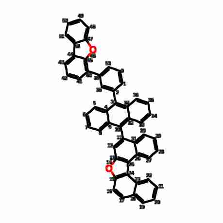 c1cc(-c2c3ccccc3c(-c3cc4oc5ccc6ccccc6c5c4c4ccccc34)c3ccccc23)cc(-c2cccc3c2oc2ccccc23)c1